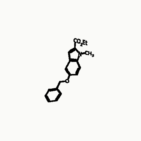 CCOC(=O)c1cc2cc(OCc3ccccc3)ccc2n1C